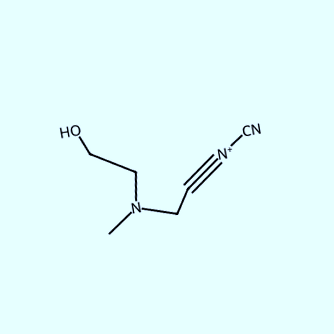 CN(CC#[N+]C#N)CCO